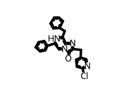 O=c1c(Cc2ccc(Cl)nc2)nc2c(Cc3ccccc3)[nH]c(-c3ccccc3)cn1-2